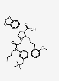 CCCCN(C(=O)CN1C[C@H](c2ccc3c(c2)OCO3)[C@@H](C(=O)O)[C@@H]1CCCc1ccccc1OC)c1cccc(C[N+](C)(C)C)c1